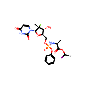 CCC(I)OC(=O)[C@H](C)NP(=O)(OC[C@H]1O[C@@H](n2ccc(=O)[nH]c2=O)[C@](C)(F)[C@@H]1O)Oc1ccccc1